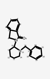 O=C1c2ccccc2CN1C1CCCCN1Cc1ccccc1